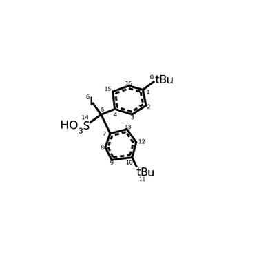 CC(C)(C)c1ccc(C(I)(c2ccc(C(C)(C)C)cc2)S(=O)(=O)O)cc1